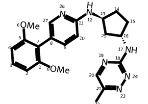 COc1cccc(OC)c1-c1ccc(N[C@H]2CC[C@H](Nc3ncc(C)nn3)C2)nc1